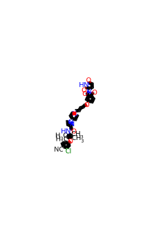 CC1(C)C(NC(=O)c2ccn(C3CCN(CCCCCOc4ccc5c(c4)C(=O)N(C4CCC(=O)NC4=O)C5=O)CC3)n2)C(C)(C)C1Oc1ccc(C#N)c(Cl)c1